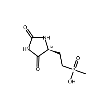 CP(=O)(O)CC[C@@H]1NC(=O)NC1=O